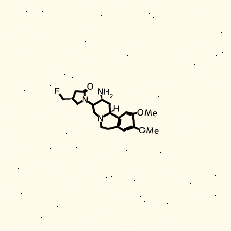 COc1cc2c(cc1OC)[C@@H]1C[C@H](N)C(N3C[C@@H](CF)CC3=O)CN1CC2